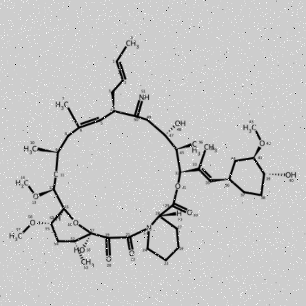 C/C=C/C[C@@H]1/C=C(\C)C[C@H](C)C[C@H](OC)[C@H]2O[C@@](O)(C(=O)C(=O)N3CCCC[C@H]3C(=O)O[C@H](/C(C)=C/[C@@H]3CC[C@@H](O)[C@H](OC)C3)[C@H](C)[C@@H](O)CC1=N)[C@H](C)C[C@@H]2OC